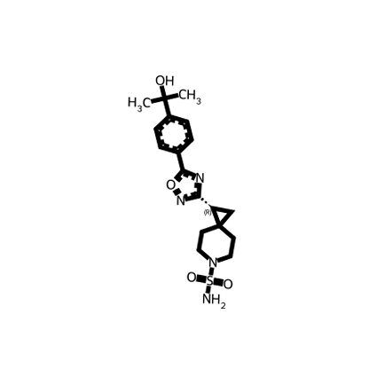 CC(C)(O)c1ccc(-c2nc([C@@H]3CC34CCN(S(N)(=O)=O)CC4)no2)cc1